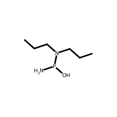 CCCN(CCC)P(N)O